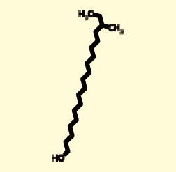 CCC(C)CCCCCCCCCCCCCCCCO